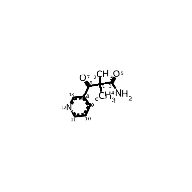 CC(C)(C(N)=O)C(=O)c1cccnc1